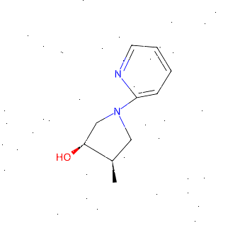 C[C@@H]1CN(c2cc[c]cn2)C[C@@H]1O